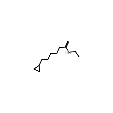 C=C(CCCCCC1CC1)NCC